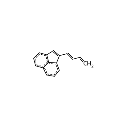 C=CC=CC1=Cc2cccc3cccc1c23